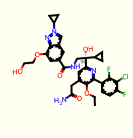 CCOc1c(CC(N)=O)cc([C@@](O)(CNC(=O)c2cc(OCCO)c3nn(C4CC4)cc3c2)C2CC2)nc1-c1ccc(F)c(Cl)c1F